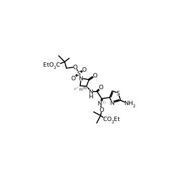 CCOC(=O)C(C)(C)COS(=O)(=O)N1C(=O)[C@@H](NC(=O)/C(=N/OC(C)(C)C(=O)OCC)c2csc(N)n2)[C@@H]1C